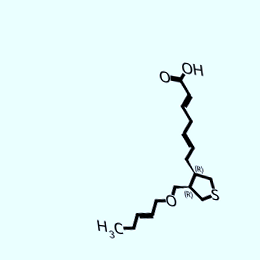 CCC=CCOC[C@@H]1CSC[C@@H]1CC=CCC=CC(=O)O